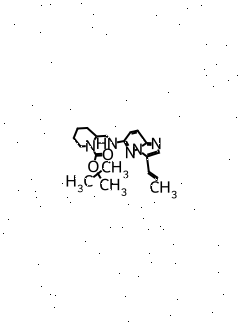 CC=Cc1cnc2ccc(NCC3CCCCN3C(=O)OC(C)(C)C)nn12